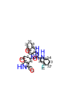 O=C=CC(C[C@@H]1CCNC1=C=O)NC(=C=O)C(CC1CCCCC1)NC(=O)c1cc2c(F)cccc2[nH]1